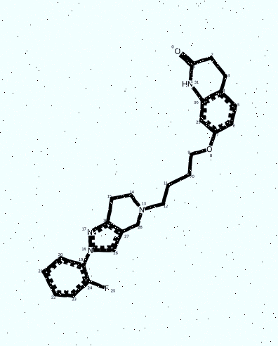 O=C1CCc2ccc(OCCCCN3CCc4nn(-c5ccccc5F)cc4C3)cc2N1